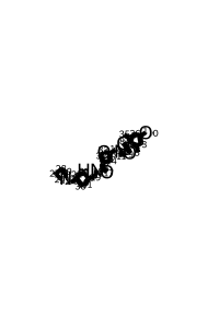 COc1cc(C)c(S(=O)(=O)N(C)Cc2cc(C(=O)NCc3ccc(CN4CCCC4)cc3)co2)c(C)c1